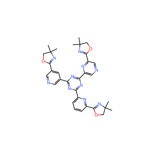 CC1(C)COC(c2cncc(-c3nc(-c4cccc(C5=NC(C)(C)CO5)n4)nc(-c4cncc(C5=NC(C)(C)CO5)n4)n3)c2)=N1